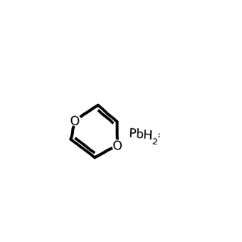 C1=COC=CO1.[PbH2]